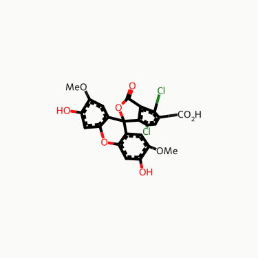 COc1cc2c(cc1O)Oc1cc(O)c(OC)cc1C21OC(=O)c2c(Cl)c(C(=O)O)cc(Cl)c21